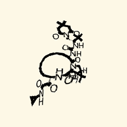 CC1(C)CC(=O)N(C[C@@H](NC(=O)N[C@H]2CCCCCCCC[C@@H](C(=O)C(=O)NC3CC3)NC(=O)[C@@H]3[C@@H]4[C@H](CN3C2=O)C4(C)C)C(C)(C)C)C(=O)C1